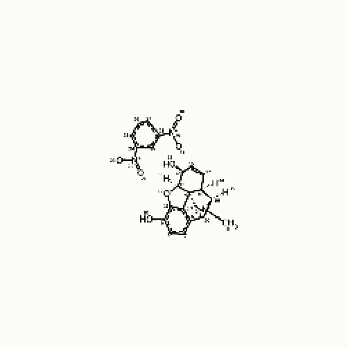 CN1CC[C@]23c4c5ccc(O)c4O[C@H]2[C@@H](O)C=C[C@H]3[C@H]1C5.O=[N+]([O-])c1cccc([N+](=O)[O-])c1